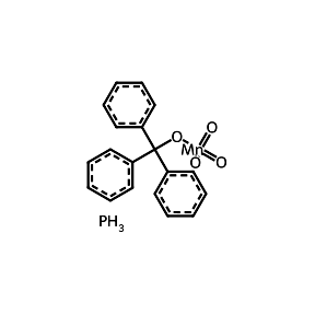 P.[O]=[Mn](=[O])(=[O])[O]C(c1ccccc1)(c1ccccc1)c1ccccc1